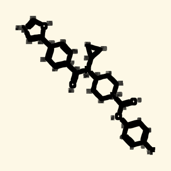 O=C(Oc1ccc(F)cc1)N1CCC(N(C(=O)c2ccc(-c3cnco3)cc2)C2CC2)CC1